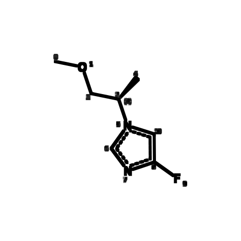 COC[C@@H](C)n1cnc(F)c1